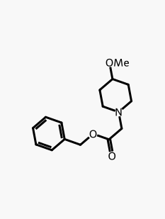 COC1CCN(CC(=O)OCc2ccccc2)CC1